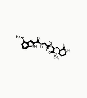 COC(=O)[C@H](C[C@@H]1CCCNC1=O)NC(=O)CNC(=O)c1cc2c(OC)cccc2[nH]1